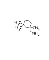 CC1(C)C[CH]CC(C)(CN)C1